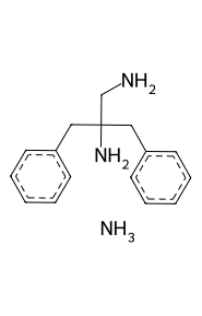 N.NCC(N)(Cc1ccccc1)Cc1ccccc1